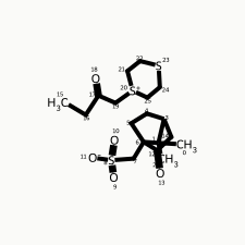 CC1(C)C2CCC1(CS(=O)(=O)[O-])C(=O)C2.CCC(=O)C[S+]1CCSCC1